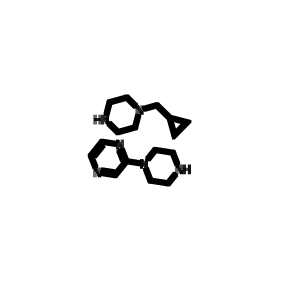 C1CN(CC2CC2)CCN1.c1cnc(N2CCNCC2)cn1